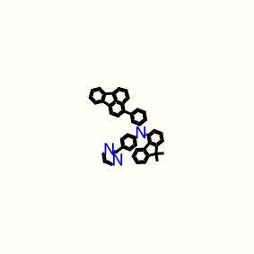 CC1(C)c2ccccc2-c2c(N(c3ccc(-c4ncccn4)cc3)c3cccc(-c4ccc5c6c(cccc46)-c4ccccc4-5)c3)cccc21